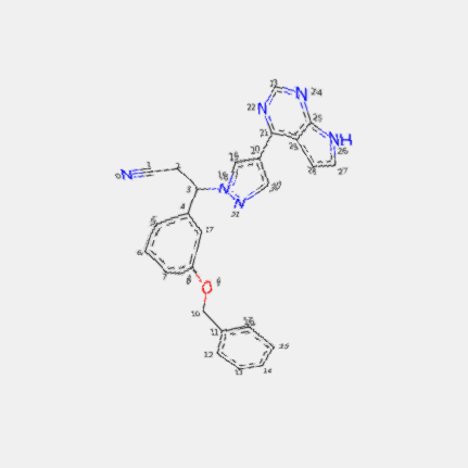 N#CCC(c1cccc(OCc2ccccc2)c1)n1cc(-c2ncnc3[nH]ccc23)cn1